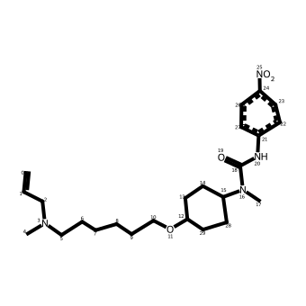 C=CCN(C)CCCCCCOC1CCC(N(C)C(=O)Nc2ccc([N+](=O)[O-])cc2)CC1